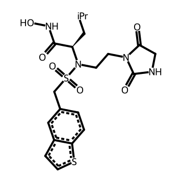 CC(C)C[C@H](C(=O)NO)N(CCN1C(=O)CNC1=O)S(=O)(=O)Cc1ccc2sccc2c1